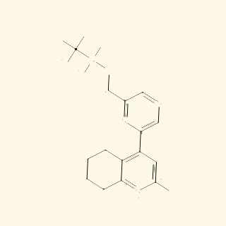 CC(C)(C)[Si](C)(C)OCc1cncc(-c2cc(Cl)nc3c2CCCC3)n1